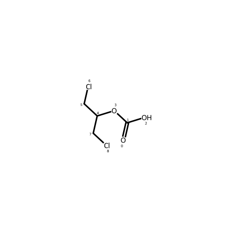 O=C(O)OC(CCl)CCl